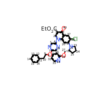 CCOC(=O)c1cn(-c2cnc(OCCc3ccccc3)cn2)c2cc(N3CCC[C@@H]3COc3ccccn3)c(Cl)cc2c1=O